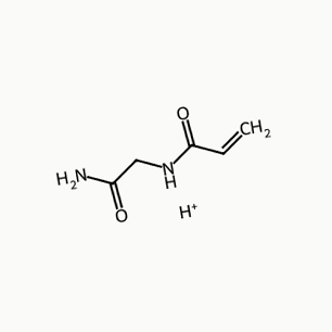 C=CC(=O)NCC(N)=O.[H+]